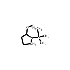 COC1CC[SiH2]N1[Si](C)(C)C